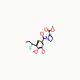 CCC(F)c1cc(C(=O)N2CC[C@@H]2C(=O)OC)cc(OC)c1OC